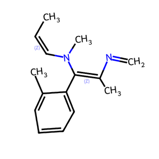 C=N/C(C)=C(/c1ccccc1C)N(C)/C=C\C